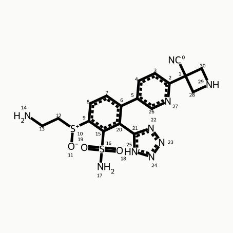 N#CC1(c2ccc(-c3ccc([S+]([O-])CCN)c(S(N)(=O)=O)c3-c3nnn[nH]3)cn2)CNC1